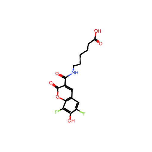 O=C(O)CCCCCNC(=O)c1cc2cc(F)c(O)c(F)c2oc1=O